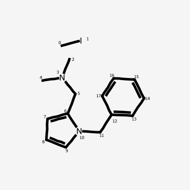 CI.CN(C)Cc1cccn1Cc1ccccc1